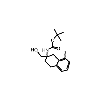 Cc1cccc2c1CC(CO)(NC(=O)OC(C)(C)C)CC2